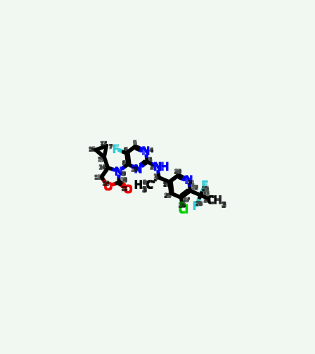 C[C@H](Nc1ncc(F)c(N2C(=O)OCC2C2CC2)n1)c1cnc(C(C)(F)F)c(Cl)c1